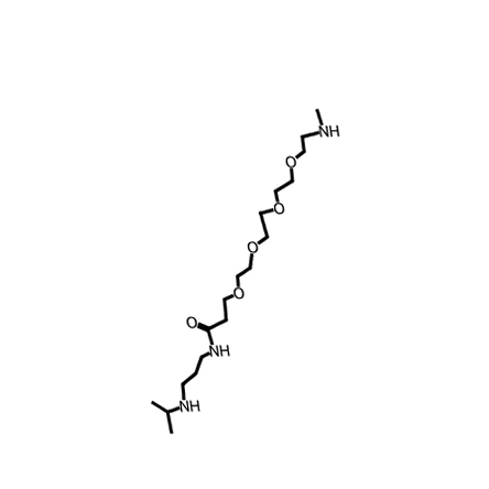 CNCCOCCOCCOCCOCCC(=O)NCCCNC(C)C